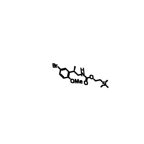 COc1ccc(Br)cc1[C@@H](C)CNC(=O)OCC[Si](C)(C)C